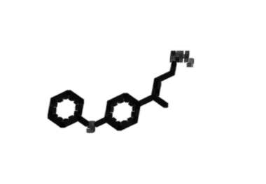 CC(=CCN)c1ccc(Sc2ccccc2)cc1